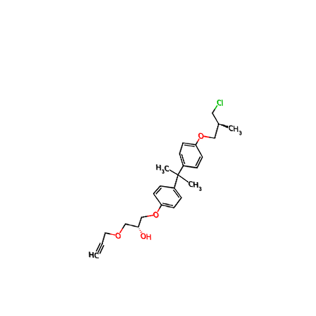 C#CCOC[C@@H](O)COc1ccc(C(C)(C)c2ccc(OC[C@H](C)CCl)cc2)cc1